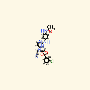 CC(=O)Nc1ccc(Nc2nccc(N(CC#N)C3=COC(c4cccc(Cl)c4)O3)n2)cc1